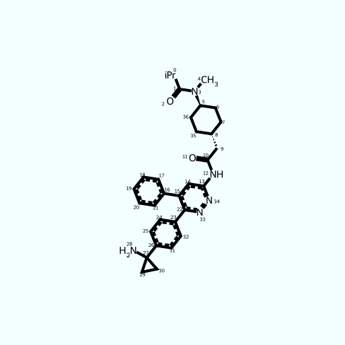 CC(C)C(=O)N(C)[C@H]1CC[C@H](CC(=O)Nc2cc(-c3ccccc3)c(-c3ccc(C4(N)CC4)cc3)nn2)CC1